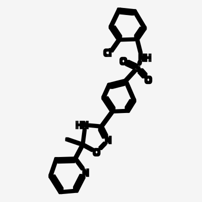 CC1(c2ccccn2)NC(c2ccc(S(=O)(=O)Nc3ccccc3Cl)cc2)=NO1